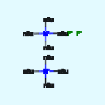 CCCC[N+](CCCC)(CCCC)CCCC.CCCC[N+](CCCC)(CCCC)CCCC.[F-].[F-]